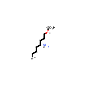 CC(C)CCCCCCCOS(=O)(=O)O.N